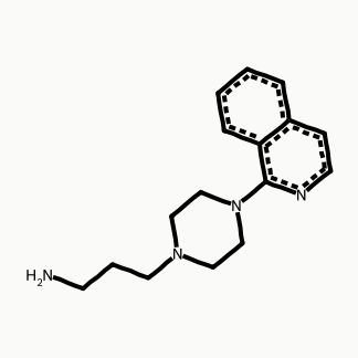 NCCCN1CCN(c2nccc3ccccc23)CC1